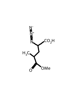 COC(=O)C(C)CC(N=[N+]=[N-])C(=O)O